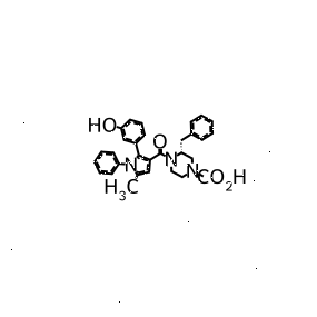 Cc1cc(C(=O)N2CCN(C(=O)O)C[C@H]2Cc2ccccc2)c(-c2cccc(O)c2)n1-c1ccccc1